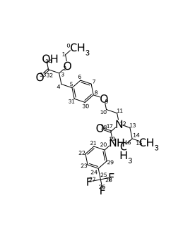 CCOC(Cc1ccc(OCCN(CC(C)C)C(=O)Nc2cccc(C(F)(F)F)c2)cc1)C(=O)O